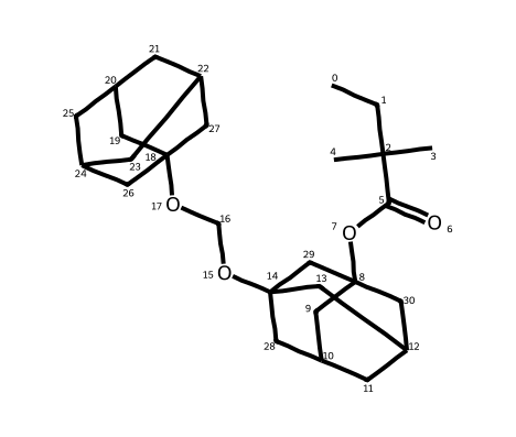 CCC(C)(C)C(=O)OC12CC3CC(CC(OCOC45CC6CC(CC(C6)C4)C5)(C3)C1)C2